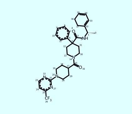 C[C@H](NC(=O)C1(c2ccccc2)CCN(C(=O)C2CCN(c3nccc(C(F)(F)F)n3)CC2)CC1)C1=CC=CCC1